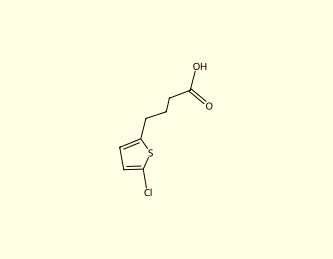 O=C(O)CCCc1ccc(Cl)s1